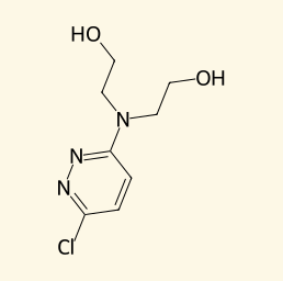 OCCN(CCO)c1ccc(Cl)nn1